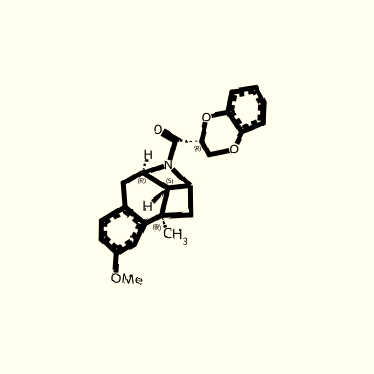 COc1ccc2c(c1)[C@]1(C)CC3[C@H]1[C@@H](C2)N3C(=O)[C@H]1COc2ccccc2O1